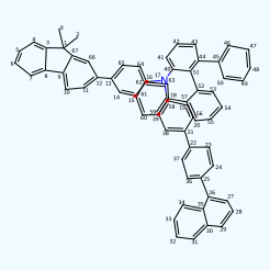 CC1(C)c2ccccc2-c2ccc(-c3ccc(N(c4ccc(-c5ccc(-c6cccc7ccccc67)cc5)cc4)c4cccc(-c5ccccc5)c4-c4ccccc4-c4ccccc4)cc3)cc21